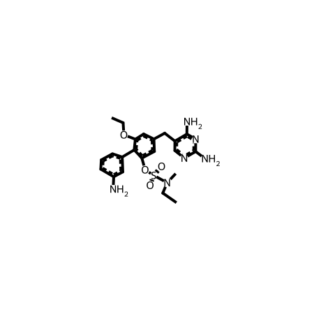 CCOc1cc(Cc2cnc(N)nc2N)cc(OS(=O)(=O)N(C)CC)c1-c1cccc(N)c1